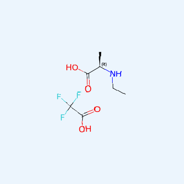 CCN[C@H](C)C(=O)O.O=C(O)C(F)(F)F